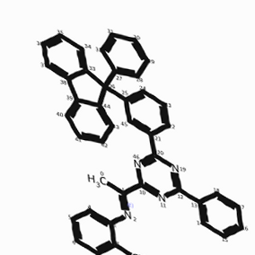 C/C(=N\c1ccccc1C)c1nc(-c2ccccc2)nc(-c2cccc(C3(c4ccccc4)c4ccccc4-c4ccccc43)c2)n1